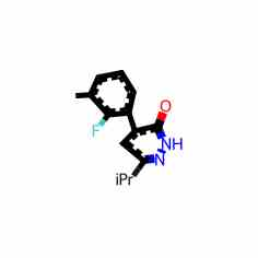 Cc1cccc(-c2cc(C(C)C)n[nH]c2=O)c1F